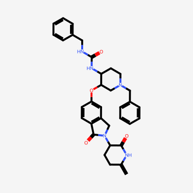 C=C1CCC(N2Cc3cc(OC4CN(Cc5ccccc5)CCC4NC(=O)NCc4ccccc4)ccc3C2=O)C(=O)N1